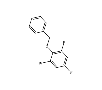 Fc1cc(Br)cc(Br)c1OCc1ccccc1